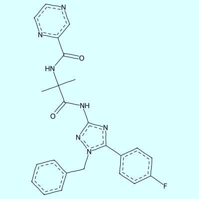 CC(C)(NC(=O)c1cnccn1)C(=O)Nc1nc(-c2ccc(F)cc2)n(Cc2ccccc2)n1